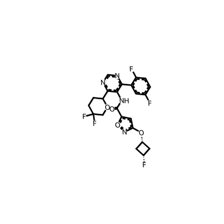 O=C(Nc1c(-c2cc(F)ccc2F)ncnc1C1CCC(F)(F)CO1)c1cc(O[C@H]2C[C@@H](F)C2)no1